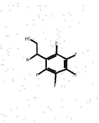 OCC(Br)c1c(F)c(F)c(F)c(F)c1F